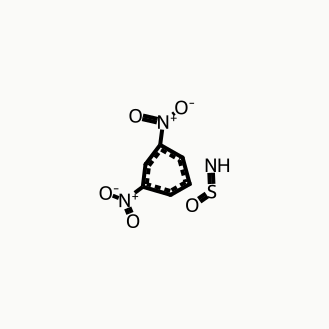 N=S=O.O=[N+]([O-])c1cccc([N+](=O)[O-])c1